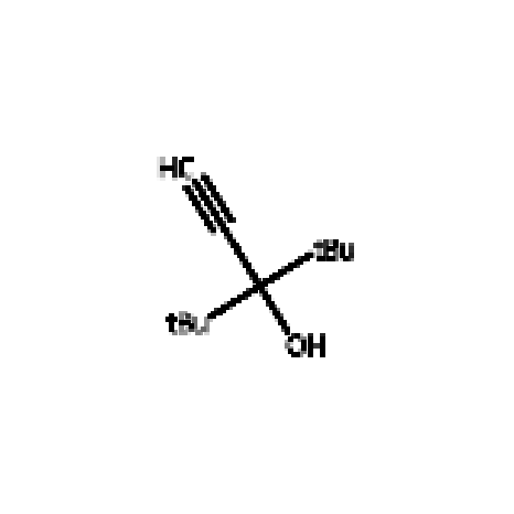 C#CC(O)(C(C)(C)C)C(C)(C)C